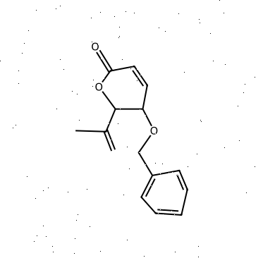 C=C(C)C1OC(=O)C=CC1OCc1ccccc1